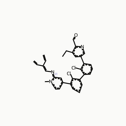 C=CC(C=C)=C/N=c1/cc(-c2cccc(-c3cccc(-c4cnc(C=O)c(CC)c4)c3Cl)c2Cl)ccn1C